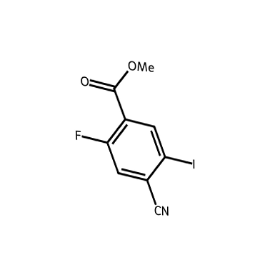 COC(=O)c1cc(I)c(C#N)cc1F